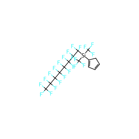 FC(F)(F)C(F)(F)C(F)(F)C(F)(F)C(F)(F)C(F)(F)C(F)(F)C(F)(F)[Si](C1=CC=CC1)(C(F)(F)F)C(F)(F)F